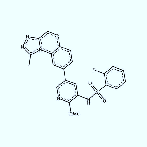 COc1ncc(-c2ccc3ncc4nnc(C)n4c3c2)cc1NS(=O)(=O)c1ccccc1F